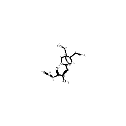 CCC1OC2(C=C(C)C(=O)N=C=O)OCC1(CO)CO2